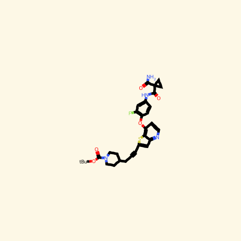 CC(C)(C)OC(=O)N1CCC(CC#Cc2cc3nccc(Oc4ccc(NC(=O)C5(C(N)=O)CC5)cc4F)c3s2)CC1